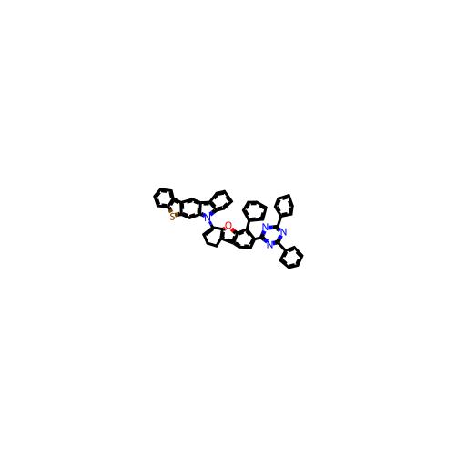 C1=C(n2c3ccccc3c3cc4c(cc32)sc2ccccc24)c2oc3c(-c4ccccc4)c(-c4nc(-c5ccccc5)nc(-c5ccccc5)n4)ccc3c2CC1